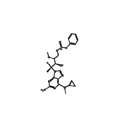 COC(CO[PH](=O)Oc1ccccc1)[C@@H](O)[C@@](C)(F)n1cnc2c(N(C)C3CC3)nc(N)nc21